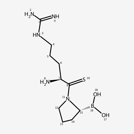 N=C(N)NCCC[C@H](N)C(=S)N1CCC[C@H]1B(O)O